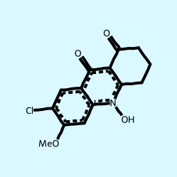 COc1cc2c(cc1Cl)c(=O)c1c(n2O)CCCC1=O